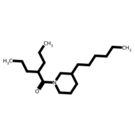 CCCCCCC1CCCN(C(=O)C(CCC)CCC)C1